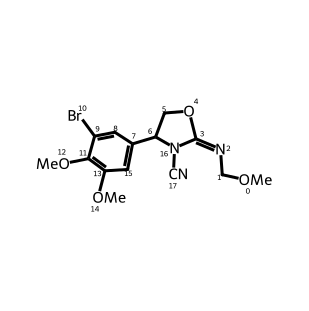 COCN=C1OCC(c2cc(Br)c(OC)c(OC)c2)N1C#N